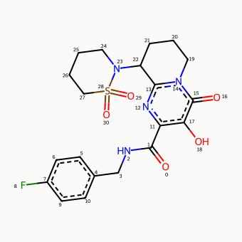 O=C(NCc1ccc(F)cc1)c1nc2n(c(=O)c1O)CCCC2N1CCCCS1(=O)=O